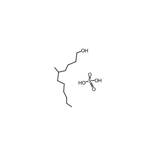 CCCCCCC(C)CCCCO.O=S(=O)(O)O